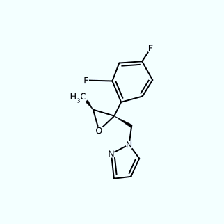 C[C@@H]1O[C@@]1(Cn1cccn1)c1ccc(F)cc1F